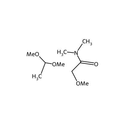 COC(C)OC.COCC(=O)N(C)C